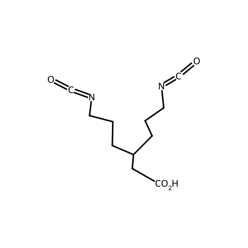 O=C=NCCCC(CCCN=C=O)CC(=O)O